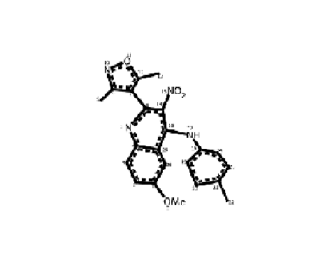 COc1ccc2nc(-c3c(C)noc3C)c([N+](=O)[O-])c(Nc3ccc(C)cc3)c2c1